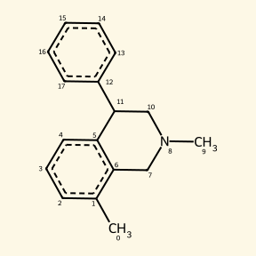 Cc1cccc2c1CN(C)CC2c1ccccc1